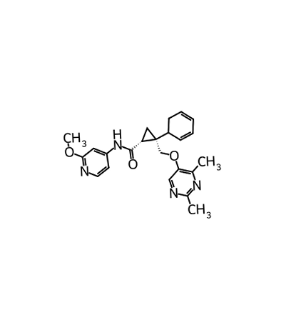 COc1cc(NC(=O)[C@@H]2C[C@@]2(COc2cnc(C)nc2C)C2C=CC=CC2)ccn1